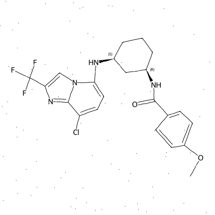 COc1ccc(C(=O)N[C@@H]2CCC[C@H](Nc3ccc(Cl)c4nc(C(F)(F)F)cn34)C2)cc1